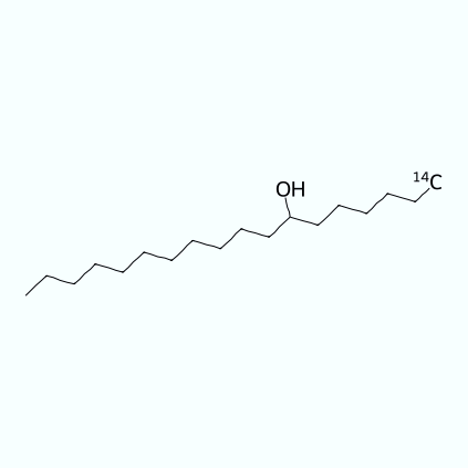 CCCCCCCCCCCC(O)CCCCC[14CH3]